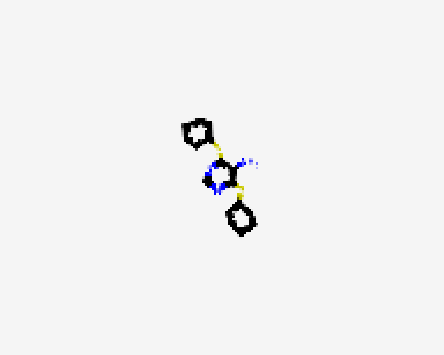 Nc1c(Sc2ccccc2)ncnc1Sc1ccccc1